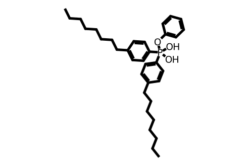 CCCCCCCCc1ccc(P(O)(O)(Oc2ccccc2)c2ccc(CCCCCCCC)cc2)cc1